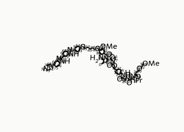 C=C1C[C@@H](C2OCCN2C(=O)OCc2ccc(NC(=O)[C@H](C)NC(=O)[C@@H](NC(=O)CCOCCOC)C(C)C)cc2)N(C(=O)c2cc(OC)c(OCCCCCOc3ccc(-c4nc5ccc(-c6nc7cc(N8CCN(C)CC8)ccc7[nH]6)cc5[nH]4)cc3)cc2N)C1